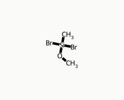 CO[Si](C)(Br)Br